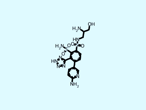 Nc1ccc(-c2ccc(S(=O)(=O)NCC(N)CO)c(S(N)(=O)=O)c2-c2nn[nH]n2)cn1